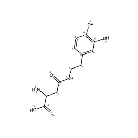 NC(CC(=O)NCCc1ccc(O)c(O)c1)C(=O)O